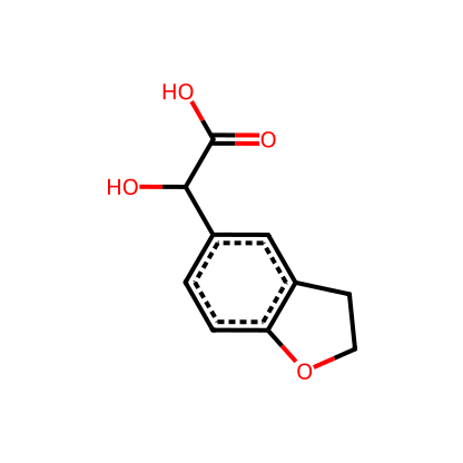 O=C(O)C(O)c1ccc2c(c1)CCO2